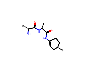 CC[C@H]1CC=C(NC(=O)[C@H](C)NC(=O)[C@@H](N)C(C)C)CC1